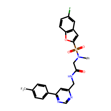 CC(C)N(CC(=O)NCc1cc(-c2ccc(C(F)(F)F)cc2)ncn1)S(=O)(=O)c1cc2cc(F)ccc2o1